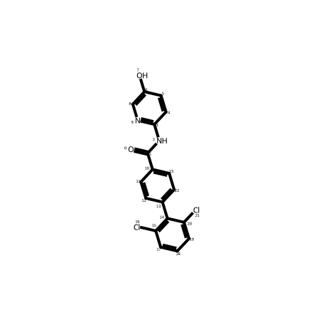 O=C(Nc1ccc(O)cn1)c1ccc(-c2c(Cl)cccc2Cl)cc1